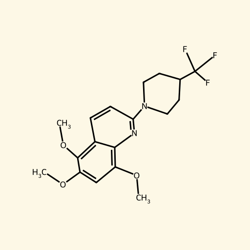 COc1cc(OC)c2nc(N3CCC(C(F)(F)F)CC3)ccc2c1OC